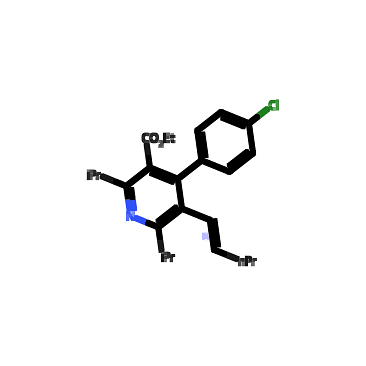 CCC/C=C/c1c(C(C)C)nc(C(C)C)c(C(=O)OCC)c1-c1ccc(Cl)cc1